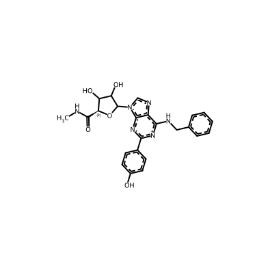 CNC(=O)[C@@H]1OC(n2cnc3c(NCc4ccccc4)nc(-c4ccc(O)cc4)nc32)C(O)C1O